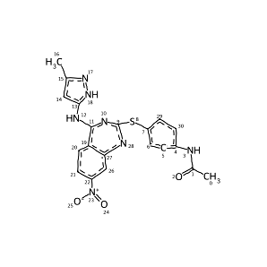 CC(=O)Nc1ccc(Sc2nc(Nc3cc(C)n[nH]3)c3ccc([N+](=O)[O-])cc3n2)cc1